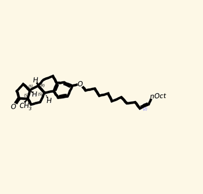 CCCCCCCC/C=C\CCCCCCCCOc1ccc2c(c1)CC[C@@H]1[C@@H]2CC[C@]2(C)C(=O)CC[C@@H]12